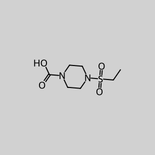 CCS(=O)(=O)N1CCN(C(=O)O)CC1